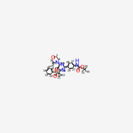 CC[C@H]1COCCN1c1cc(C2(S(=O)(=O)c3ccccc3)CC2)nc(-c2ccc(NC(=O)OC(C)(C)C)cc2)n1